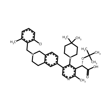 Cc1cccc(Cl)c1CN1CCc2cc(-c3cnc(C)c([C@H](OC(C)(C)C)C(=O)O)c3N3CCC(C)(C)CC3)ccc2C1